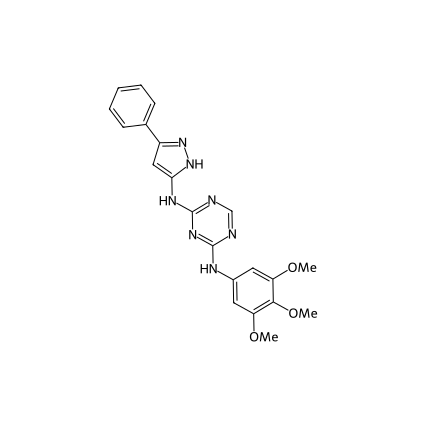 COc1cc(Nc2ncnc(Nc3cc(-c4ccccc4)n[nH]3)n2)cc(OC)c1OC